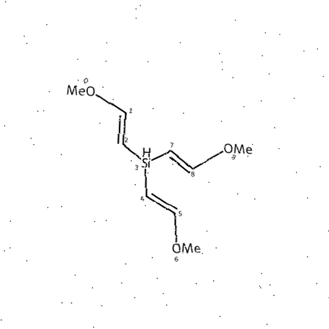 COC=C[SiH](C=COC)C=COC